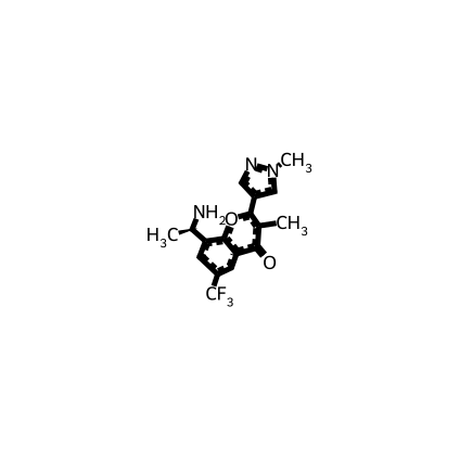 Cc1c(-c2cnn(C)c2)oc2c([C@@H](C)N)cc(C(F)(F)F)cc2c1=O